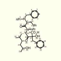 CCCN(Cc1ccccc1)[C@@H](CC(C)C)C(=O)N(CCC)[C@@H](CC(C)CCC(C)O)C(=O)C(O)(Cc1ccccc1)C(=O)O